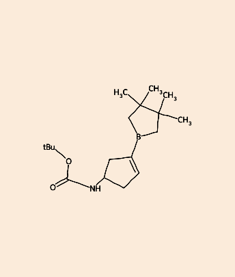 CC(C)(C)OC(=O)NC1CC=C(B2CC(C)(C)C(C)(C)C2)C1